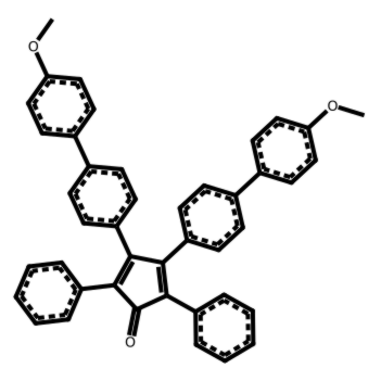 COc1ccc(-c2ccc(C3=C(c4ccccc4)C(=O)C(c4ccccc4)=C3c3ccc(-c4ccc(OC)cc4)cc3)cc2)cc1